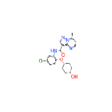 Cc1ccnc2c(C(=O)Nc3cc(Cl)ccc3OC3CCC(O)CC3)cnn12